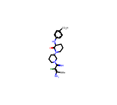 CN/C(N)=C(/F)C(=N)N1CCC[C@@H](N2CCCC(Nc3ccc(C(=O)O)cc3)C2=O)C1